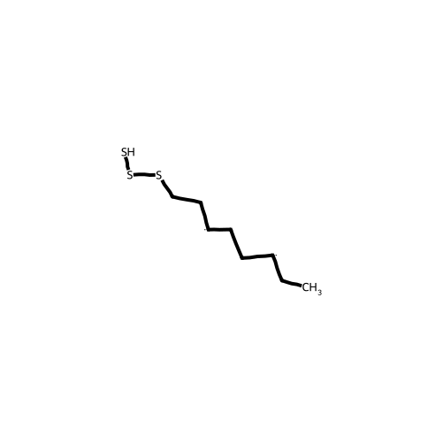 CC[CH]CC[CH]CCSSS